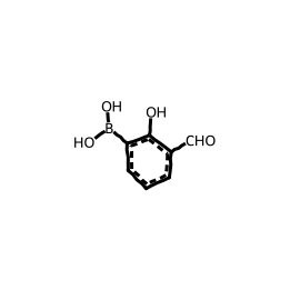 O=Cc1cccc(B(O)O)c1O